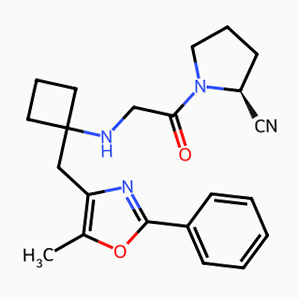 Cc1oc(-c2ccccc2)nc1CC1(NCC(=O)N2CCC[C@H]2C#N)CCC1